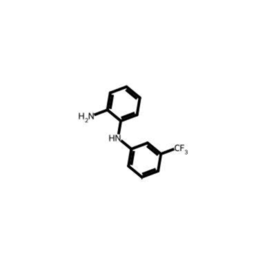 Nc1ccccc1Nc1c[c]cc(C(F)(F)F)c1